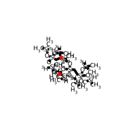 [3H][Si](C)(C)O[Si](CC[Si](C)(C)O[Si](CC[Si](O[Si]([3H])(C)C)(O[Si]([3H])(C)C)O[Si]([3H])(C)C)(O[Si]([3H])(C)C)O[Si]([3H])(C)C)(O[Si]([3H])(C)C)O[Si]([3H])(C)C